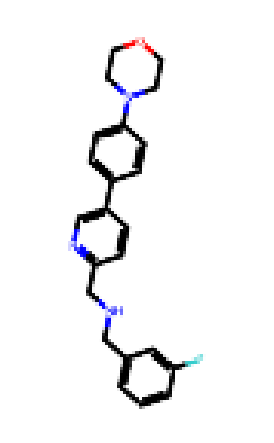 Fc1cccc(CNCc2ccc(-c3ccc(N4CCOCC4)cc3)cn2)c1